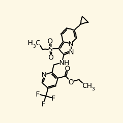 CCOC(=O)c1cc(C(F)(F)F)cnc1CNc1nn2cc(C3CC3)ccc2c1S(=O)(=O)CC